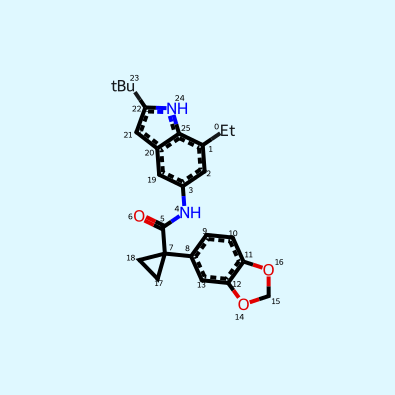 CCc1cc(NC(=O)C2(c3ccc4c(c3)OCO4)CC2)cc2cc(C(C)(C)C)[nH]c12